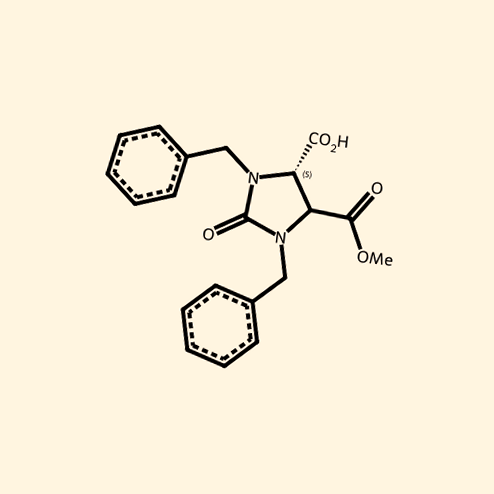 COC(=O)C1[C@@H](C(=O)O)N(Cc2ccccc2)C(=O)N1Cc1ccccc1